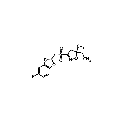 CCC1(C)CC(S(=O)(=O)Cc2nc3cc(F)ccc3o2)=NO1